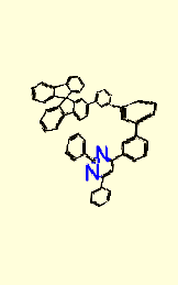 c1ccc(-c2cc(-c3cccc(-c4cccc(-c5cccc(-c6ccc7c(c6)C6(c8ccccc8-c8ccccc86)c6ccccc6-7)c5)c4)c3)nc(-c3ccccc3)n2)cc1